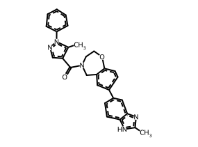 Cc1nc2cc(-c3ccc4c(c3)CN(C(=O)c3cnn(-c5ccccc5)c3C)CCO4)ccc2[nH]1